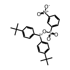 CC(C)(C)c1ccc([I+](OS(=O)(=O)c2cccc([N+](=O)[O-])c2)c2ccc(C(C)(C)C)cc2)cc1